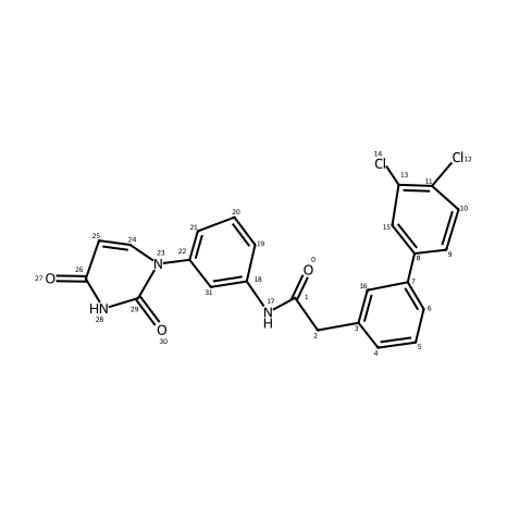 O=C(Cc1cccc(-c2ccc(Cl)c(Cl)c2)c1)Nc1cccc(-n2ccc(=O)[nH]c2=O)c1